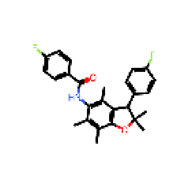 Cc1c(C)c2c(c(C)c1NC(=O)c1ccc(F)cc1)C(c1ccc(F)cc1)C(C)(C)O2